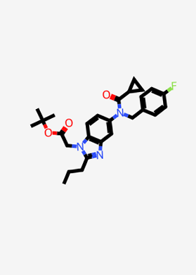 CCCc1nc2cc(N(Cc3ccc(F)cc3)C(=O)C3CC3)ccc2n1CC(=O)OC(C)(C)C